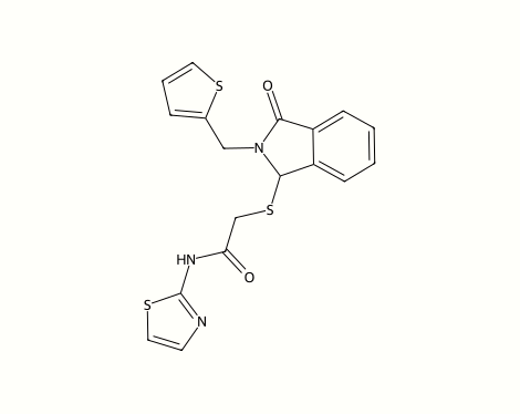 O=C(CSC1c2ccccc2C(=O)N1Cc1cccs1)Nc1nccs1